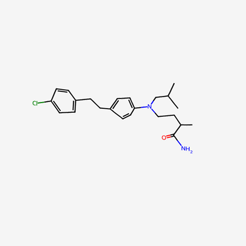 C[C](C)CN(CCC(C)C(N)=O)c1ccc(CCc2ccc(Cl)cc2)cc1